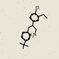 CCc1cc(C(CN)Cc2ccc(C(C)(C)C)cc2)ccc1Cl